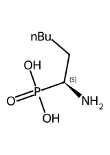 CCCCC[C@@H](N)P(=O)(O)O